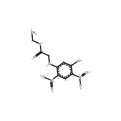 CCOC(=O)COc1cc(Cl)c([N+](=O)[O-])cc1[N+](=O)[O-]